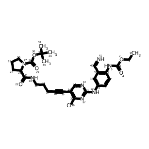 CCOC(=O)Nc1ccc(Nc2ncc(C#CCCCNC(=O)C3CCCN3C(=O)OC(C)(C)C)c(Cl)n2)cc1C=N